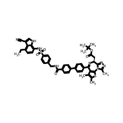 CCc1ccc(NS(=O)(=O)c2ccc(CNC(=O)c3ccc(-c4ccc(C5=N[C@@H](CC(=O)OC(C)(C)C)c6nnc(C)n6-c6sc(C)c(C)c65)cc4)cc3)cc2)c2[nH]cc(C#N)c12